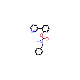 O=C(NCc1ccccc1)Oc1ccccc1-c1cccnc1